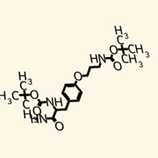 CC(C)(C)OC(=O)NCCCOc1ccc(CC(NC(=O)OC(C)(C)C)C([NH])=O)cc1